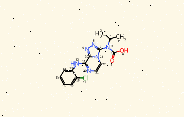 CC(C)N(C(=O)O)c1nnc2c(Nc3ccccc3Cl)nccn12